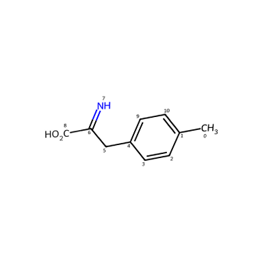 Cc1ccc(CC(=N)C(=O)O)cc1